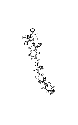 O=C1CCC(N2Cc3ccc(COC(=O)Nc4ccc(N5CCC(F)(F)CC5)nc4)cc3C2=O)C(=O)N1